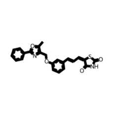 Cc1oc(-c2ccccc2)nc1COc1cccc(C=CC=C2SC(=O)NC2=O)c1